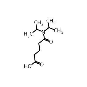 CC(C)N(C(=O)CCCC(=O)O)C(C)C